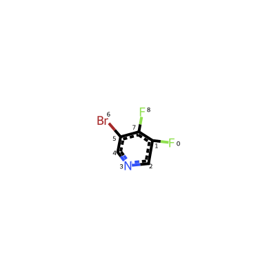 Fc1cncc(Br)c1F